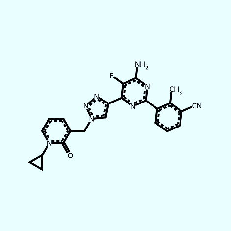 Cc1c(C#N)cccc1-c1nc(N)c(F)c(-c2cn(Cc3cccn(C4CC4)c3=O)nn2)n1